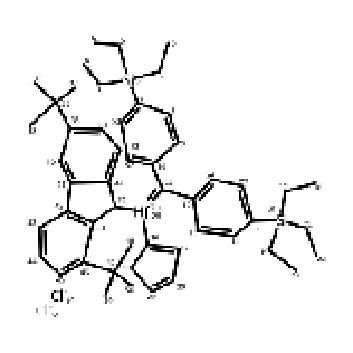 CC[Si](CC)(CC)c1ccc([C](c2ccc([Si](CC)(CC)CC)cc2)=[Hf+2]([C]2=CC=CC2)[CH]2c3ccc(C(C)(C)C)cc3-c3cccc(C(C)(C)C)c32)cc1.[Cl-].[Cl-]